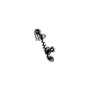 O=C(NCCCCCCCCN(CCCN1CCOCC1)S(=O)(=O)C1CCCCC1)NCc1cccnc1